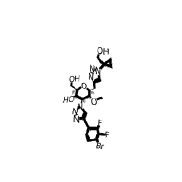 CO[C@@H]1[C@@H](n2cc(-c3ccc(Br)c(F)c3F)nn2)[C@@H](O)[C@@H](CO)O[C@@H]1Cc1cn(C2(CO)CC2)nn1